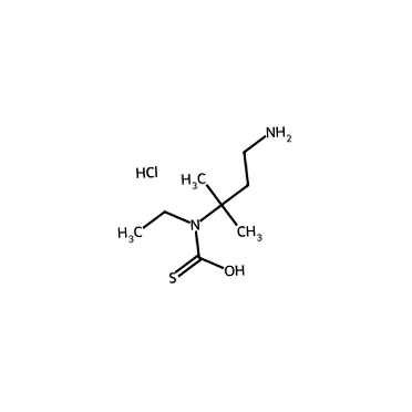 CCN(C(O)=S)C(C)(C)CCN.Cl